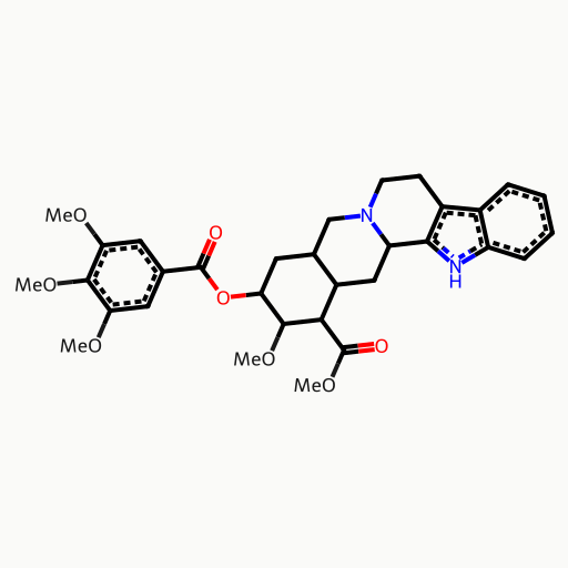 COC(=O)C1C2CC3c4[nH]c5ccccc5c4CCN3CC2CC(OC(=O)c2cc(OC)c(OC)c(OC)c2)C1OC